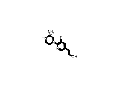 C[C@@H]1CN(c2ncc(CCO)cc2F)CCN1